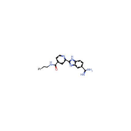 CC(C)CCNC(=O)c1ccnc(-c2nc3cc(C(=N)N)ccc3[nH]2)c1